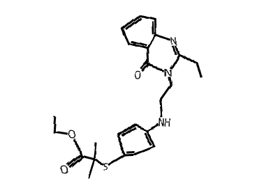 CCOC(=O)C(C)(C)Sc1ccc(NCCn2c(CC)nc3ccccc3c2=O)cc1